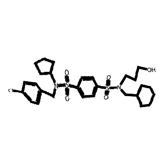 O=S(=O)(c1ccc(S(=O)(=O)N(Cc2ccc(Cl)cc2)C2CCCC2)cc1)N(CCCO)CC1CCCCC1